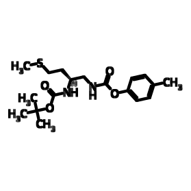 CSCC[C@@H](CNC(=O)Oc1ccc(C)cc1)NC(=O)OC(C)(C)C